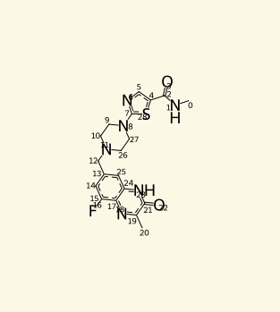 CNC(=O)c1cnc(N2CCN(Cc3cc(F)c4nc(C)c(=O)[nH]c4c3)CC2)s1